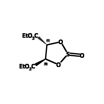 CCOC(=O)[C@@H]1OS(=O)O[C@H]1C(=O)OCC